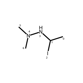 CC(I)NN(C)C